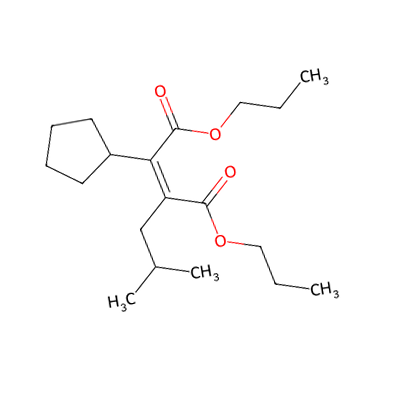 CCCOC(=O)/C(CC(C)C)=C(\C(=O)OCCC)C1CCCC1